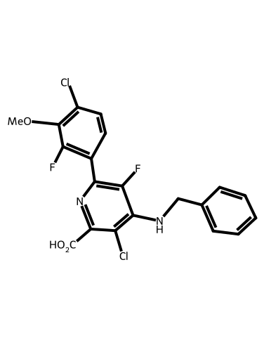 COc1c(Cl)ccc(-c2nc(C(=O)O)c(Cl)c(NCc3ccccc3)c2F)c1F